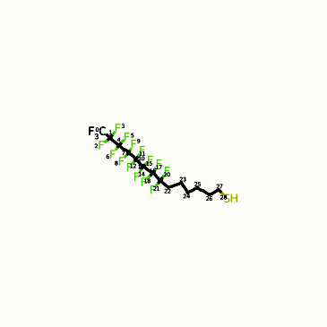 FC(F)(F)C(F)(F)C(F)(F)C(F)(F)C(F)(F)C(F)(F)C(F)(F)C(F)(F)CCCCCCS